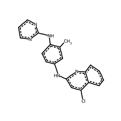 Cc1cc(Nc2cc(Cl)c3ccccc3n2)ccc1Nc1ncccn1